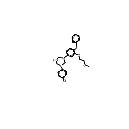 COCCOc1cc(N2CNCN(c3ccc(Cl)cc3)C2)ccc1Oc1ccccc1